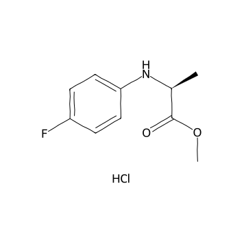 COC(=O)[C@H](C)Nc1ccc(F)cc1.Cl